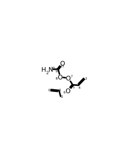 C=CC.C=CC(=O)OOC(N)=O